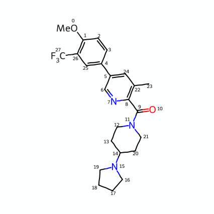 COc1ccc(-c2cnc(C(=O)N3CCC(N4CCCC4)CC3)c(C)c2)cc1C(F)(F)F